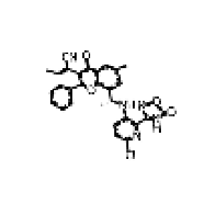 C/C=C(\C#N)c1c(-c2ccccc2)oc2c([C@@H](C)Nc3ccc(Cl)nc3-c3noc(=O)[nH]3)cc(C)cc2c1=O